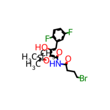 C[Si](C)(C)Oc1c(NC(=O)CCCBr)oc(-c2cc(F)ccc2F)c1O